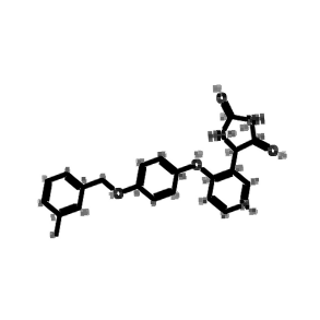 Cc1cccc(COc2ccc(Oc3ccncc3C3NC(=O)NC3=O)cc2)c1